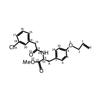 C=CCOc1ccc(C[C@H](NC(=O)Cc2cccc(Cl)c2)C(=O)OC)cc1